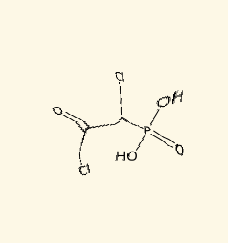 O=C(Cl)C(Cl)P(=O)(O)O